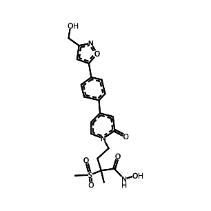 CC(CCn1ccc(-c2ccc(-c3cc(CO)no3)cc2)cc1=O)(C(=O)NO)S(C)(=O)=O